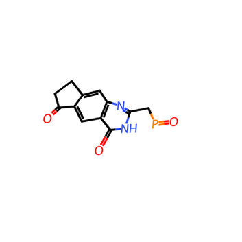 O=PCc1nc2cc3c(cc2c(=O)[nH]1)C(=O)CC3